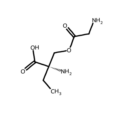 CC[C@](N)(COC(=O)CN)C(=O)O